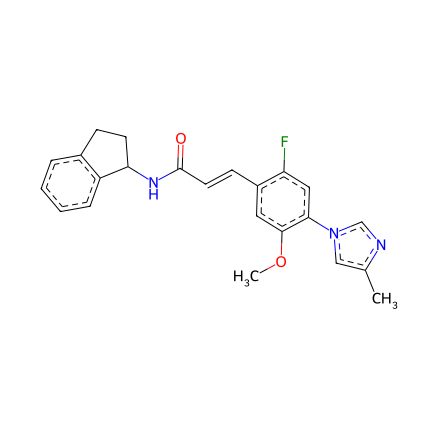 COc1cc(/C=C/C(=O)NC2CCc3ccccc32)c(F)cc1-n1cnc(C)c1